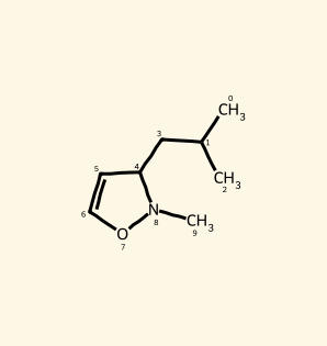 CC(C)CC1C=CON1C